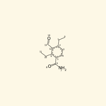 CCc1ccc(C(N)=O)c(CC)c1C=O